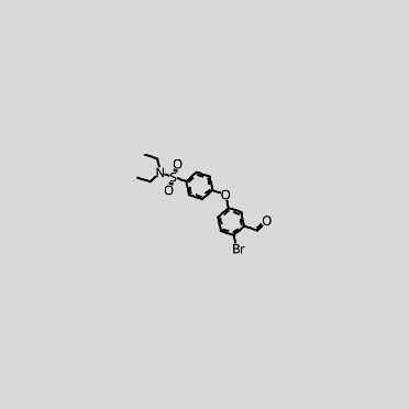 CCN(CC)S(=O)(=O)c1ccc(Oc2ccc(Br)c(C=O)c2)cc1